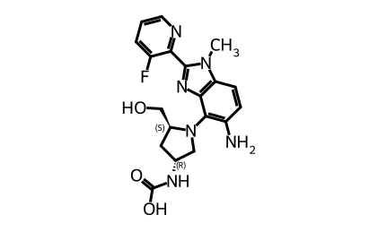 Cn1c(-c2ncccc2F)nc2c(N3C[C@H](NC(=O)O)C[C@H]3CO)c(N)ccc21